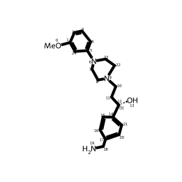 COc1cccc(N2CCN(CC[C@H](O)c3ccc(CN)cc3)CC2)c1